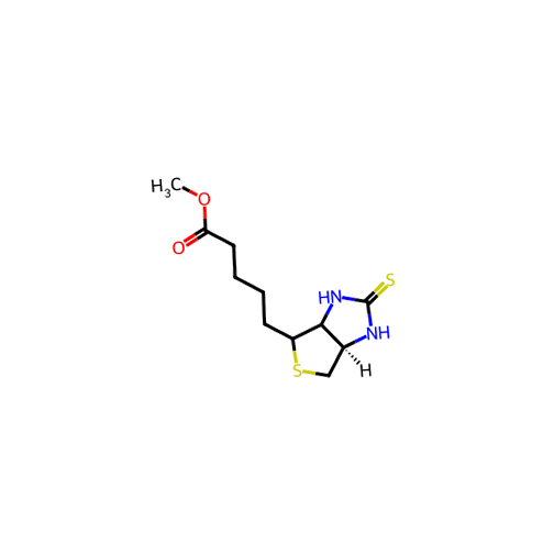 COC(=O)CCCCC1SC[C@@H]2NC(=S)NC12